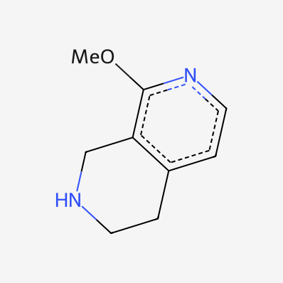 COc1nccc2c1CNCC2